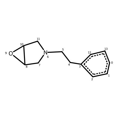 c1ccc(CCN2CC3OC3C2)cc1